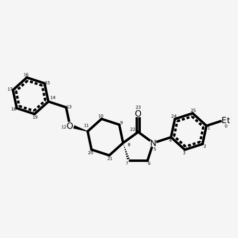 CCc1ccc(N2CC[C@]3(CC[C@H](OCc4ccccc4)CC3)C2=O)cc1